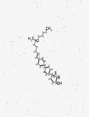 CCCCCOC(C)CCC/C=C/c1ccc(-c2ccc(-c3ccc(O)c(F)c3F)cc2)cc1